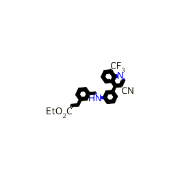 CCOC(=O)CCc1cccc(CNc2cccc(-c3c(C#N)cnc4c(C(F)(F)F)cccc34)c2)c1